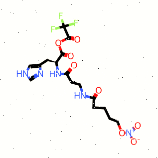 O=C(CCCCO[N+](=O)[O-])NCCC(=O)N[C@@H](Cc1c[nH]cn1)C(=O)OC(=O)C(F)(F)F